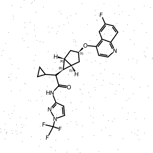 O=C(Nc1ccn(C(F)(F)F)n1)C(C1CC1)[C@H]1[C@@H]2C[C@@H](Oc3ccnc4ccc(F)cc34)C[C@@H]21